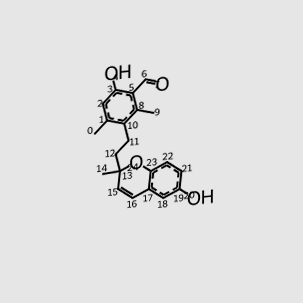 Cc1cc(O)c(C=O)c(C)c1CCC1(C)C=Cc2cc(O)ccc2O1